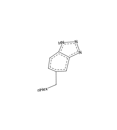 CCCCCCCc1ccc2[nH]nnc2c1